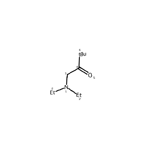 CCN(CC)CC(=O)C(C)(C)C